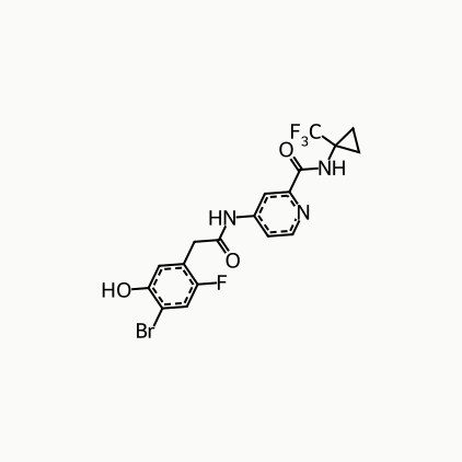 O=C(Cc1cc(O)c(Br)cc1F)Nc1ccnc(C(=O)NC2(C(F)(F)F)CC2)c1